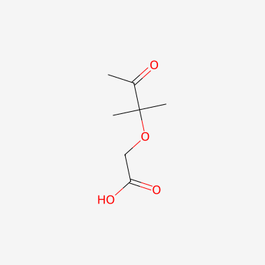 CC(=O)C(C)(C)OCC(=O)O